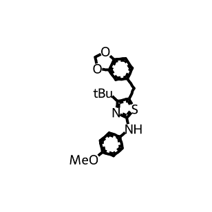 COc1ccc(Nc2nc(C(C)(C)C)c(Cc3ccc4c(c3)OCO4)s2)cc1